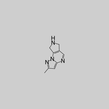 Cc1cc2ncc3c(n2n1)CNC3